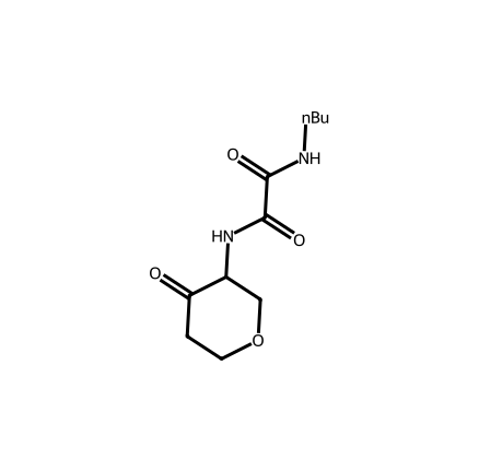 CCCCNC(=O)C(=O)NC1COCCC1=O